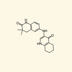 CC1(C)Cc2cc(Nc3c[nH]c4c(c3=O)CCCC4)ccc2NC1=O